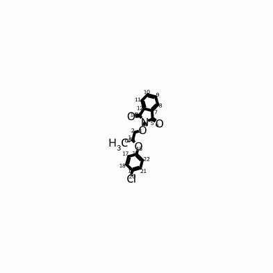 C[C@H](CON1C(=O)c2ccccc2C1=O)Oc1ccc(Cl)cc1